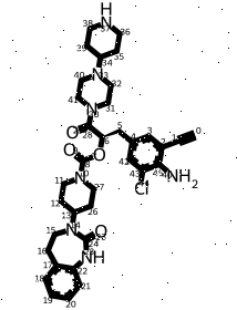 C#Cc1cc(C[C@@H](OC(=O)N2CCC(N3CCc4ccccc4NC3=O)CC2)C(=O)N2CCN(C3CCNCC3)CC2)cc(Cl)c1N